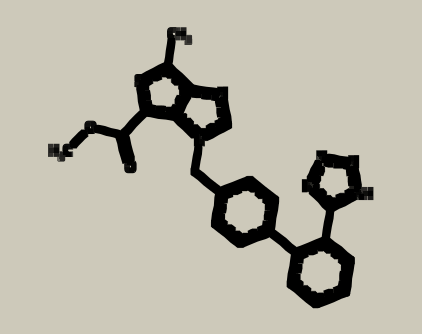 COC(=O)c1sc(C)c2ncn(Cc3ccc(-c4ccccc4-c4nnn[nH]4)cc3)c12